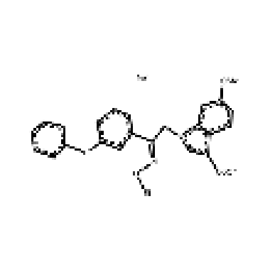 CCON=C(Cn1cc(C(=O)[O-])c2ccc(OC)cc21)c1cccc(Oc2ccccc2)c1.[Na+]